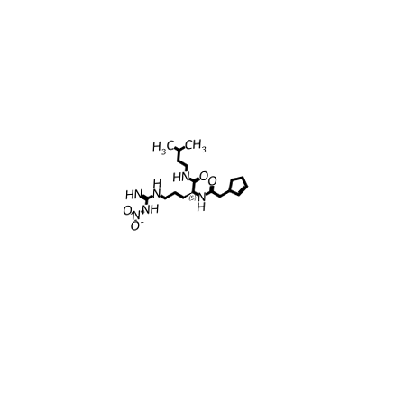 CC(C)CCNC(=O)[C@H](CCCNC(=N)N[N+](=O)[O-])NC(=O)CC1C=CCC1